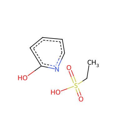 CCS(=O)(=O)O.Oc1ccccn1